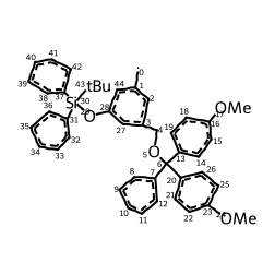 [CH2]c1cc(COC(c2ccccc2)(c2ccc(OC)cc2)c2ccc(OC)cc2)cc(O[Si](c2ccccc2)(c2ccccc2)C(C)(C)C)c1